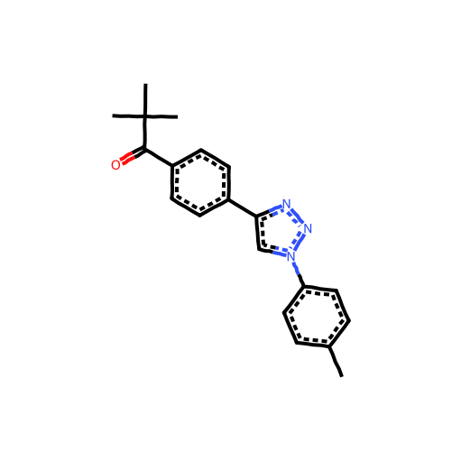 Cc1ccc(-n2cc(-c3ccc(C(=O)C(C)(C)C)cc3)nn2)cc1